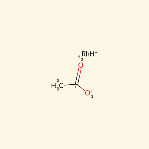 CC(=O)[O-].[RhH+]